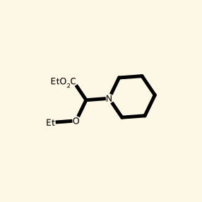 CCOC(=O)C(OCC)N1CCCCC1